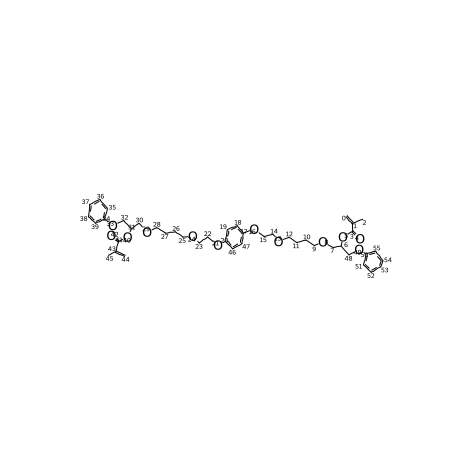 C=C(C)C(=O)OC(COCCCCOCCOc1ccc(OCCOCCCCOCC(COc2ccccc2)OC(=O)C(=C)C)cc1)COc1ccccc1